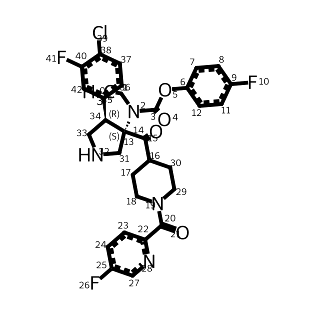 CCN(C(=O)Oc1ccc(F)cc1)[C@]1(C(=O)C2CCN(C(=O)c3ccc(F)cn3)CC2)CNC[C@H]1c1ccc(Cl)c(F)c1